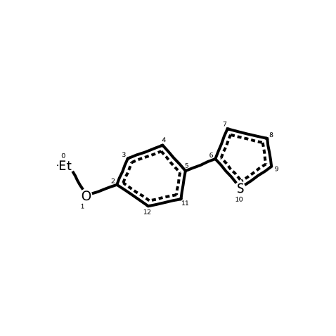 C[CH]Oc1ccc(-c2cccs2)cc1